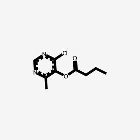 CCCC(=O)Oc1c(C)ncnc1Cl